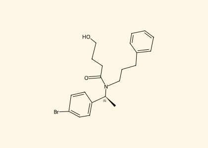 C[C@@H](c1ccc(Br)cc1)N(CCCc1ccccc1)C(=O)CCCO